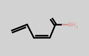 BC(=C)/C=C\C=C